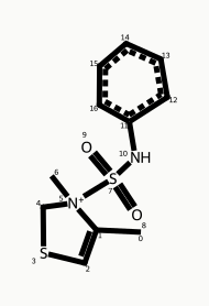 CC1=CSC[N+]1(C)S(=O)(=O)Nc1ccccc1